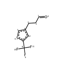 O=CCCc1csc(C(F)(F)F)c1